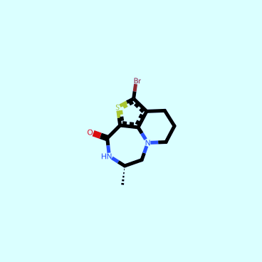 C[C@H]1CN2CCCc3c(Br)sc(c32)C(=O)N1